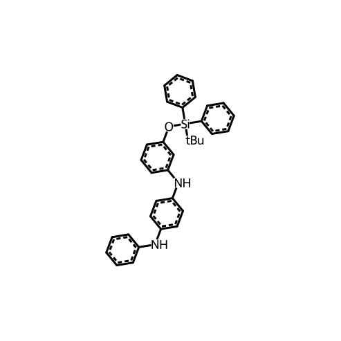 CC(C)(C)[Si](Oc1cccc(Nc2ccc(Nc3ccccc3)cc2)c1)(c1ccccc1)c1ccccc1